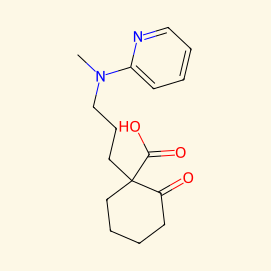 CN(CCCC1(C(=O)O)CCCCC1=O)c1ccccn1